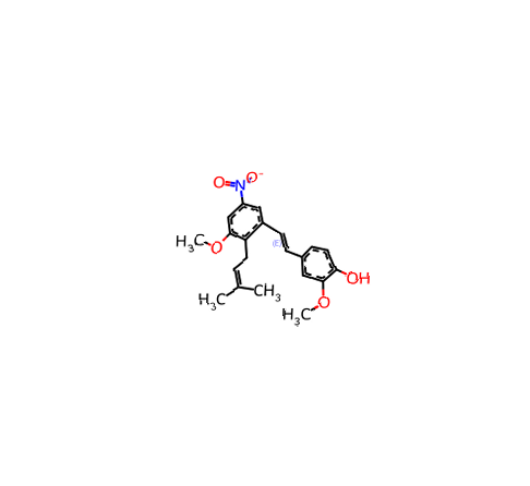 COc1cc(/C=C/c2cc([N+](=O)[O-])cc(OC)c2CC=C(C)C)ccc1O